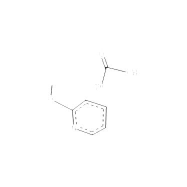 COc1ccccn1.O=[C](O)[Zn]